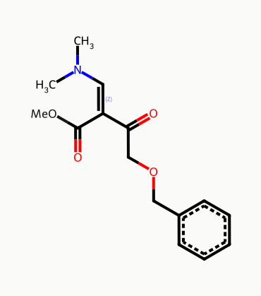 COC(=O)/C(=C\N(C)C)C(=O)COCc1ccccc1